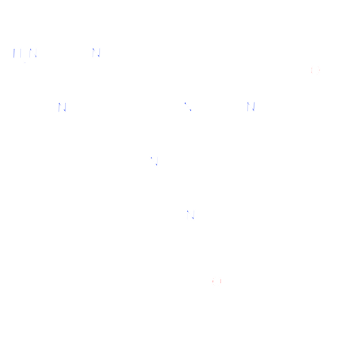 Nc1ncc(-c2nc(N3CCOCC3)c3c(n2)N2CCOCC2C3)cn1